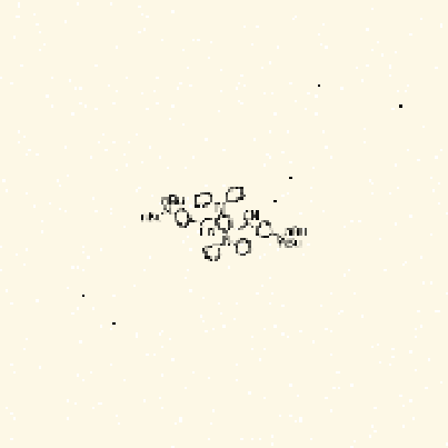 CCCCN(CCCC)c1ccc(C(C#N)=Cc2cc(N(c3ccccc3)c3ccccc3)c(C=C(C#N)c3ccc(N(CCCC)CCCC)cc3)cc2N(c2ccccc2)c2ccccc2)cc1